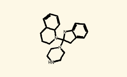 C1=CC2CCCN(C3(N4CCNCC4)Cc4ccccc4[N]3)C2C=C1